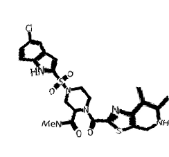 CNC(=O)C1CN(S(=O)(=O)c2cc3cc(Cl)ccc3[nH]2)CCN1C(=O)c1nc2c(s1)CNC(C)C2C